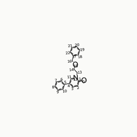 O=c1ccc(-c2ccccc2)cn1CCOCc1ccccc1